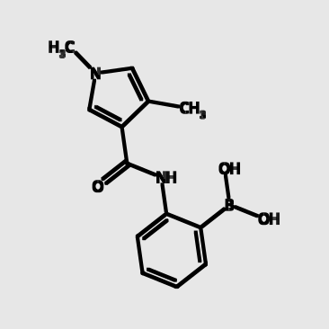 Cc1cn(C)cc1C(=O)Nc1ccccc1B(O)O